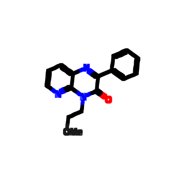 COCCn1c(=O)c(-c2ccccc2)nc2cccnc21